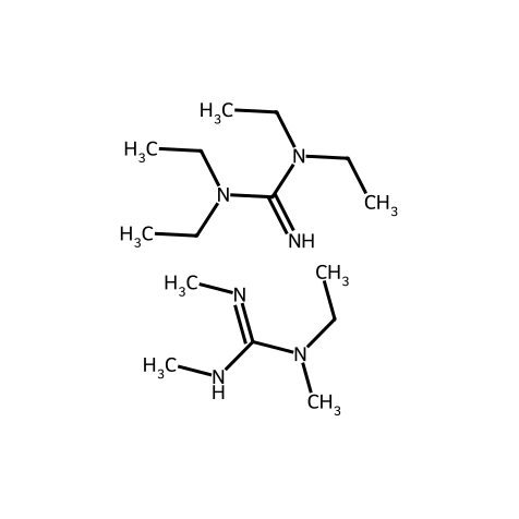 CCN(C)C(=NC)NC.CCN(CC)C(=N)N(CC)CC